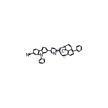 C=c1/c2ccc3c(-c4ccccc4)ccc(c13)/C=C\C/C(c1ccc(-c3ccc4c5ccc(C#N)cc5n(-c5ccccc5)c4c3)cn1)=C\C=2